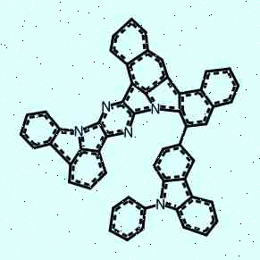 c1ccc(-n2c3ccccc3c3cc(-c4cc5ccccc5c5c6cc7ccccc7c7c8nc9c(nc8n(c45)c67)c4cccc5c6ccccc6n9c54)ccc32)cc1